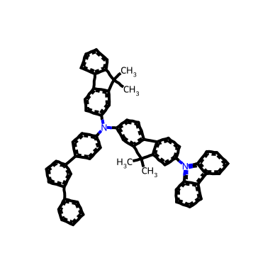 CC1(C)c2ccccc2-c2ccc(N(c3ccc(-c4cccc(-c5ccccc5)c4)cc3)c3ccc4c(c3)C(C)(C)c3cc(-n5c6ccccc6c6ccccc65)ccc3-4)cc21